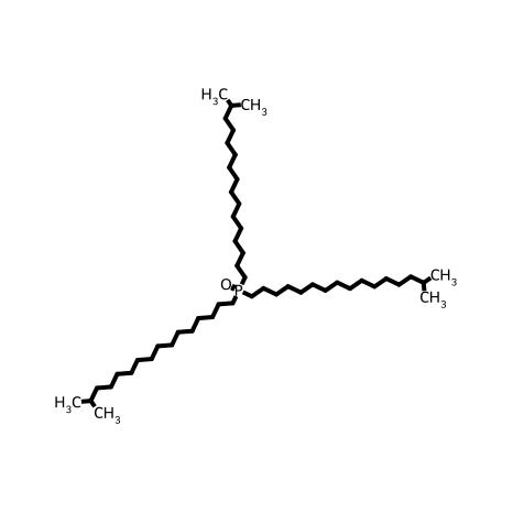 CC(C)CCCCCCCCCCCCCCP(=O)(CCCCCCCCCCCCCCC(C)C)CCCCCCCCCCCCCCC(C)C